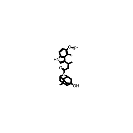 CC(C)Oc1ccc2[nH]cc(C(C)CC(=O)N3C4CC5(C)CC3CC(O)(C4)C5)c2c1F